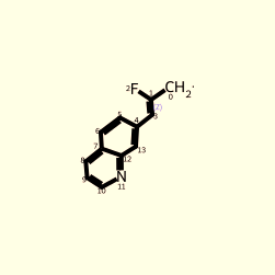 [CH2]/C(F)=C/c1ccc2cccnc2c1